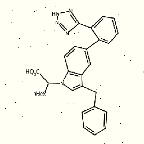 CCCCCCC(C(=O)O)n1cc(Cc2ccccc2)c2cc(-c3ccccc3-c3nn[nH]n3)ccc21